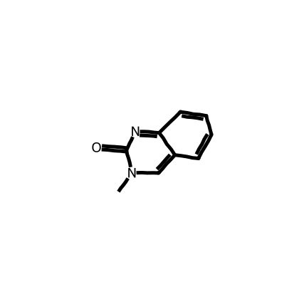 Cn1cc2ccccc2nc1=O